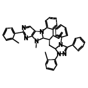 C=CC1c2ccccc2N2c3cnc(-c4ccccc4C)nc3N(C)C2C1CC1N(c2ccccc2C)N=C(c2ccccc2)N1c1ccccc1